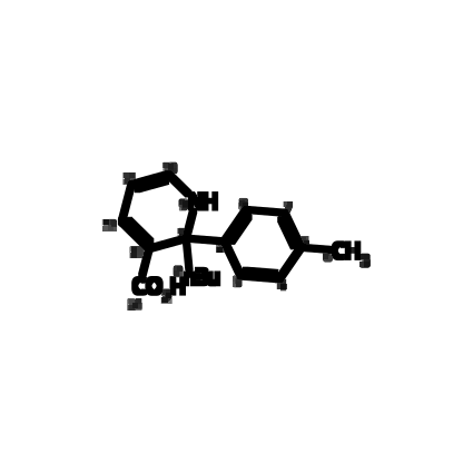 CCCCC1(c2ccc(C)cc2)NC=CC=C1C(=O)O